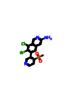 CS(=O)(=O)c1ccncc1-c1cc2cc(N)ncc2c(Cl)c1Br